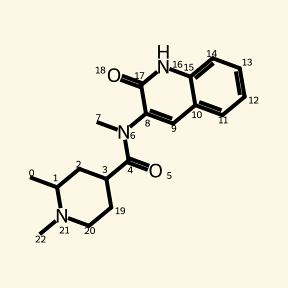 CC1CC(C(=O)N(C)c2cc3ccccc3[nH]c2=O)CCN1C